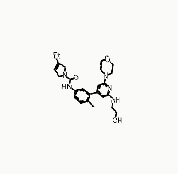 CCC1=CCN(C(=O)Nc2ccc(C)c(-c3cc(NCCO)nc(N4CCOCC4)c3)c2)C1